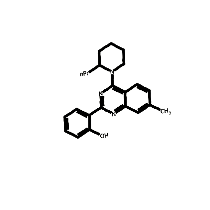 CCCC1CCCCN1c1nc(-c2ccccc2O)nc2cc(C)ccc12